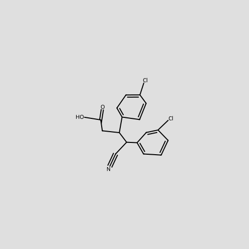 N#CC(c1cccc(Cl)c1)C(CC(=O)O)c1ccc(Cl)cc1